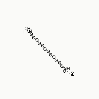 C=CCNC(=O)COCCOCCOCCOCCOCCOCCOCCOCCOCCOCCOCCOCCNC(=O)CCCC[C@@H]1CCSS1